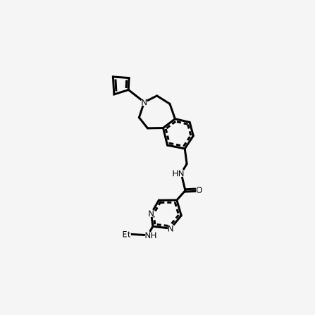 CCNc1ncc(C(=O)NCc2ccc3c(c2)CCN(C2=CC=C2)CC3)cn1